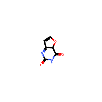 O=C1N=C2C=COC2C(=O)N1